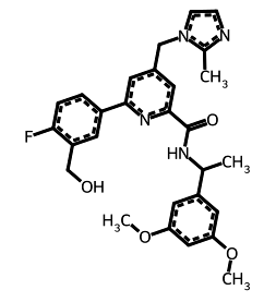 COc1cc(OC)cc(C(C)NC(=O)c2cc(Cn3ccnc3C)cc(-c3ccc(F)c(CO)c3)n2)c1